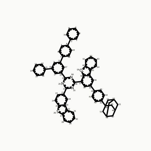 c1ccc(-c2ccc(-c3cc(-c4ccccc4)cc(-c4nc(-c5ccc6sc7ccccc7c6c5)nc(-c5cc(-c6ccc(C78CC9CC(CC(C9)C7)C8)cc6)cc6c5oc5ccccc56)n4)c3)cc2)cc1